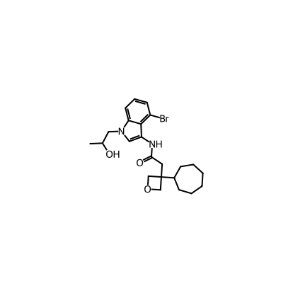 CC(O)Cn1cc(NC(=O)CC2(C3CCCCCC3)COC2)c2c(Br)cccc21